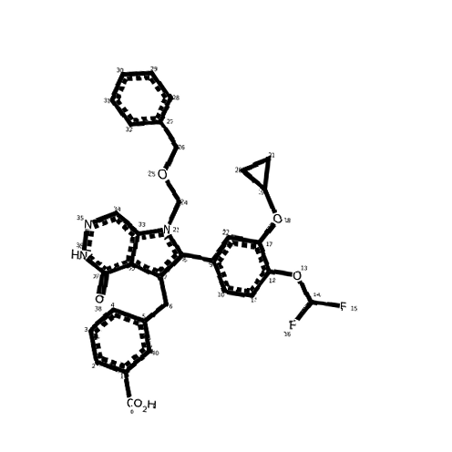 O=C(O)c1cccc(Cc2c(-c3ccc(OC(F)F)c(OC4CC4)c3)n(COCc3ccccc3)c3cn[nH]c(=O)c23)c1